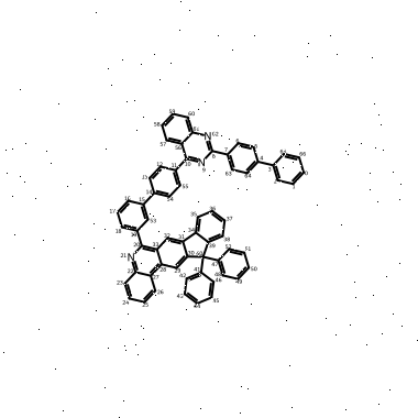 c1ccc(-c2ccc(-c3nc(-c4ccc(-c5cccc(-c6nc7ccccc7c7cc8c(cc67)-c6ccccc6C8(c6ccccc6)c6ccccc6)c5)cc4)c4ccccc4n3)cc2)cc1